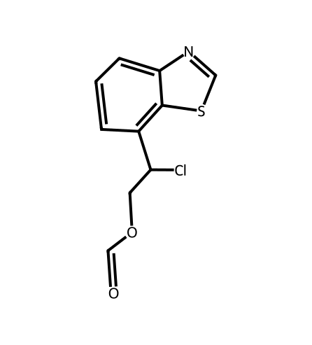 O=COCC(Cl)c1cccc2ncsc12